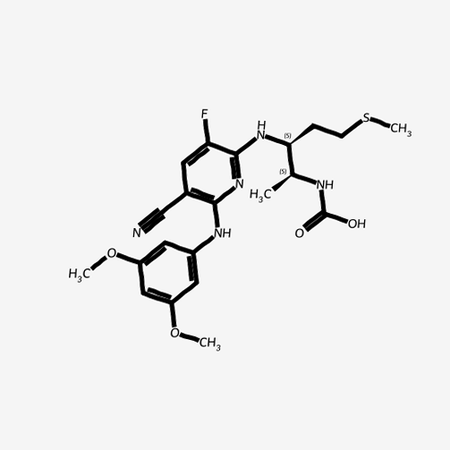 COc1cc(Nc2nc(N[C@@H](CCSC)[C@H](C)NC(=O)O)c(F)cc2C#N)cc(OC)c1